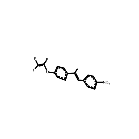 C/C(=C\c1ccc([N+](=O)[O-])cc1)c1ccc(OC(F)=C(F)F)cc1